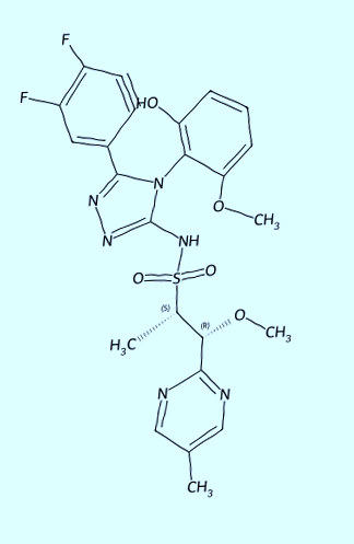 COc1cccc(O)c1-n1c(NS(=O)(=O)[C@@H](C)[C@H](OC)c2ncc(C)cn2)nnc1-c1c#cc(F)c(F)c1